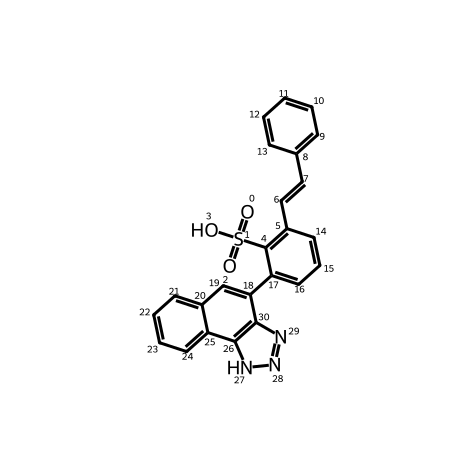 O=S(=O)(O)c1c(C=Cc2ccccc2)cccc1-c1cc2ccccc2c2[nH]nnc12